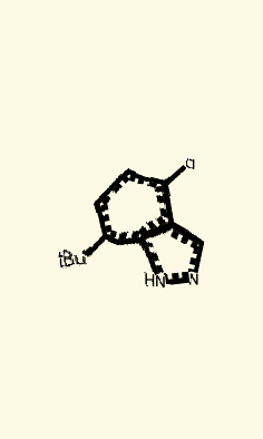 CC(C)(C)c1ccc(Cl)c2cn[nH]c12